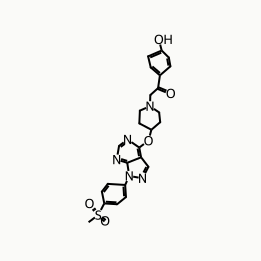 CS(=O)(=O)c1ccc(-n2ncc3c(OC4CCN(CC(=O)c5ccc(O)cc5)CC4)ncnc32)cc1